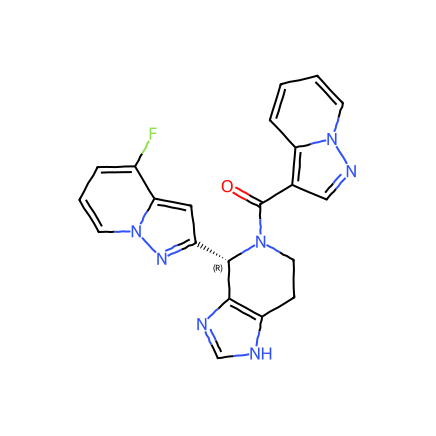 O=C(c1cnn2ccccc12)N1CCc2[nH]cnc2[C@@H]1c1cc2c(F)cccn2n1